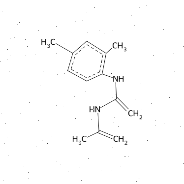 C=C(C)NC(=C)Nc1ccc(C)cc1C